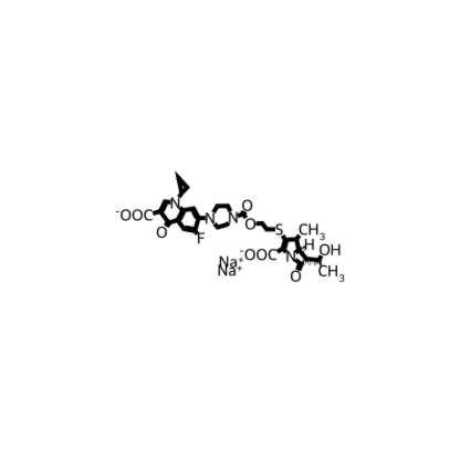 CC1C(SCCOC(=O)N2CCN(c3cc4c(cc3F)c(=O)c(C(=O)[O-])cn4C3CC3)CC2)=C(C(=O)[O-])N2C(=O)[C@@H]([C@@H](C)O)[C@H]12.[Na+].[Na+]